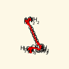 COC(C[C@@H]1CC[C@@H](C(C)C)C(C(=O)C(=O)N2CCCCC2)O1)/C(C)=C/C=C/C=C/C(C)CC(C)C(=O)CC(O)/C(C)=C/C(C)C(N)CC(CCC1CCC(OCCOCCOCCOCCOCCOCCOCCOCCOCCCc2ccc(Cn3nc(-c4ccc5oc(N)nc5c4)c4c(N)ncnc43)cc2)CC1)OC=O